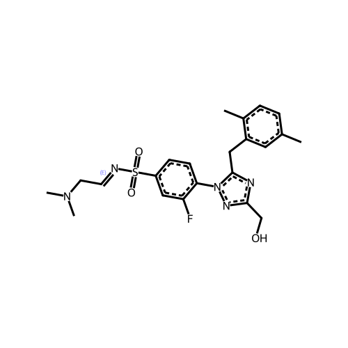 Cc1ccc(C)c(Cc2nc(CO)nn2-c2ccc(S(=O)(=O)/N=C/CN(C)C)cc2F)c1